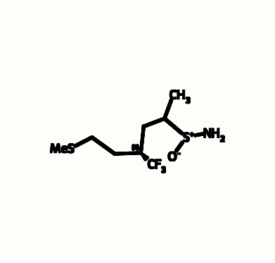 CSCC[C@@H](CC(C)[S+](N)[O-])C(F)(F)F